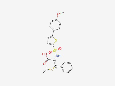 CCS[C@H](c1ccccc1)[C@@H](NS(=O)(=O)c1ccc(-c2ccc(OC)cc2)s1)C(=O)O